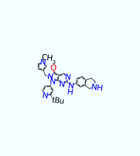 Cn1ccc(Cn2c(=O)c3cnc(Nc4ccc5c(c4)CNCC5)nc3n2-c2ccnc(C(C)(C)C)c2)c1